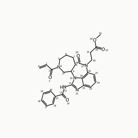 C=CC(=O)N1CCCCC(n2c(NC(=O)c3ccccc3)nc3cccc(N(C=O)CCC(=O)OC)c32)C1